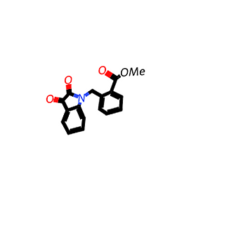 COC(=O)c1ccccc1CN1C(=O)C(=O)c2ccccc21